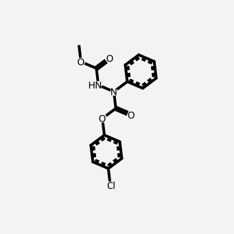 COC(=O)NN(C(=O)Oc1ccc(Cl)cc1)c1ccccc1